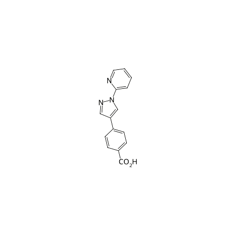 O=C(O)c1ccc(-c2cnn(-c3ccccn3)c2)cc1